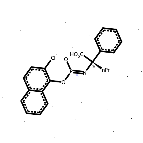 CCC[C@@](/N=[P+](\[O-])Oc1c(Cl)ccc2ccccc12)(C(=O)O)c1ccccc1